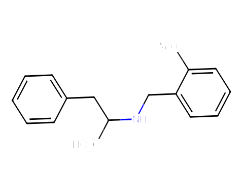 CC(=O)Oc1ccccc1CNC(Cc1ccccc1)C(=O)O